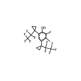 Cc1c(C2(C(F)(F)C(F)(F)F)CC2)cc(C2(C(F)(F)C(F)(F)F)CC2)c(O)c1F